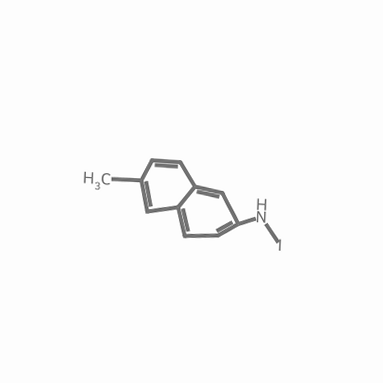 Cc1ccc2cc(NI)ccc2c1